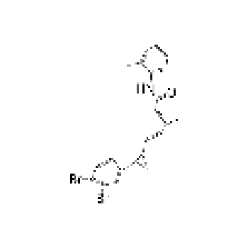 CC(C=CC1CC1c1ccc(Br)c(Br)c1)=CC(=O)Nc1ccccc1C